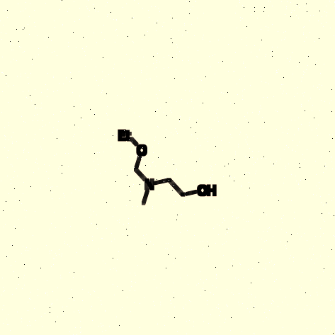 CCOCN(C)CCO